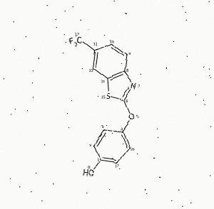 Oc1ccc(Oc2nc3ccc(C(F)(F)F)cc3s2)cc1